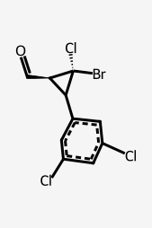 O=C[C@@H]1C(c2cc(Cl)cc(Cl)c2)[C@]1(Cl)Br